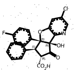 O=C(O)[C@H]1C(=O)[C@@]2(O)c3ncc(Cl)cc3O[C@@]2(c2ccc(F)cc2)[C@@H]1c1ccccc1